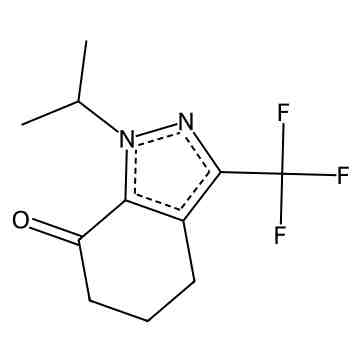 CC(C)n1nc(C(F)(F)F)c2c1C(=O)CCC2